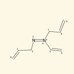 C=CCN=[N+](C=C)CC=C